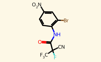 N#CC(F)(C(=O)Nc1ccc([N+](=O)[O-])cc1Br)C(F)(F)F